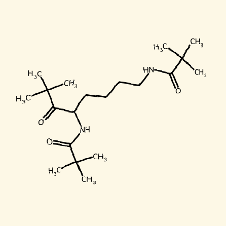 CC(C)(C)C(=O)NCCCCC(NC(=O)C(C)(C)C)C(=O)C(C)(C)C